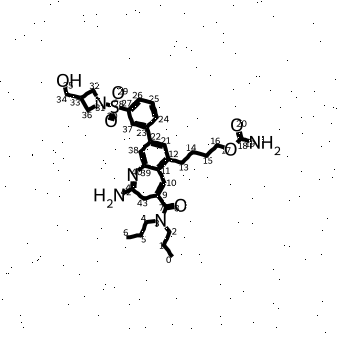 CCCN(CCC)C(=O)C1=Cc2c(CCCCOC(N)=O)cc(-c3cccc(S(=O)(=O)N4CC(CO)C4)c3)cc2N=C(N)C1